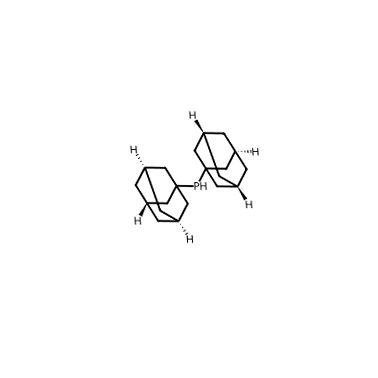 C1[C@H]2C[C@H]3CC1(PC14C[C@H]5C[C@@H](C1)C[C@@H](C4)C5)C[C@@H](C2)C3